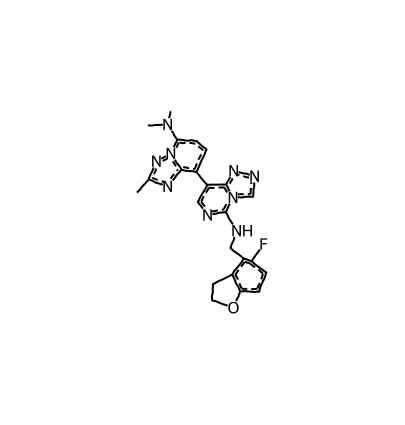 Cc1nc2c(-c3cnc(NCc4c(F)ccc5c4CCO5)n4cnnc34)ccc(N(C)C)n2n1